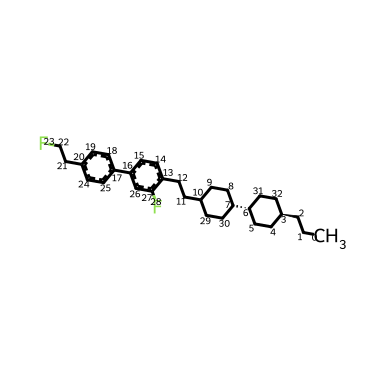 CCC[C@H]1CC[C@H](C2CCC(CCc3ccc(-c4ccc(CCF)cc4)cc3F)CC2)CC1